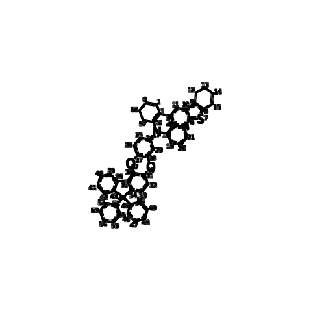 C1=CC(c2ccc3sc4c(c3c2)CCC=C4)=C(N(c2ccccc2)c2ccc3c(c2)Oc2ccc4c(c2O3)-c2ccccc2C4(c2ccccc2)c2ccccc2)CC1